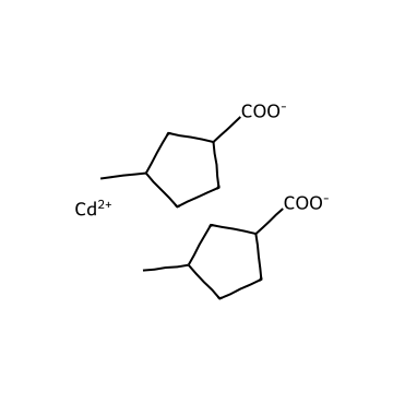 CC1CCC(C(=O)[O-])C1.CC1CCC(C(=O)[O-])C1.[Cd+2]